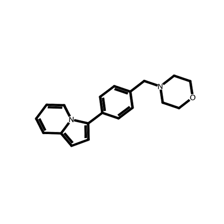 c1ccn2c(-c3ccc(CN4CCOCC4)cc3)ccc2c1